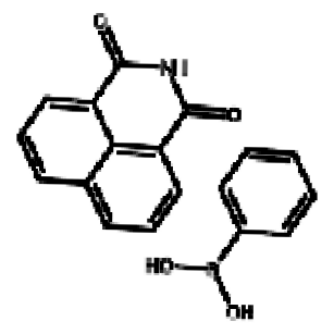 O=C1NC(=O)c2cccc3cccc1c23.OB(O)c1ccccc1